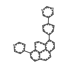 c1cc(-c2ccc3ccc4ccc(-c5ccc(-c6cncnc6)cc5)c5ccc2c3c45)ccn1